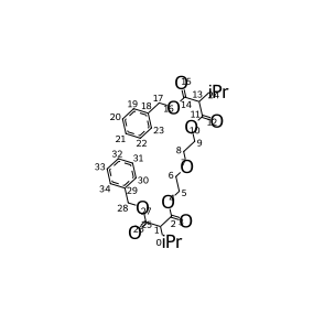 CC(C)C(C(=O)OCCOCCOC(=O)C(C(=O)OCc1ccccc1)C(C)C)C(=O)OCc1ccccc1